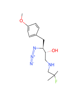 COc1ccc(C[C@H](N=[N+]=[N-])[C@H](O)CNCC(C)(C)F)cc1